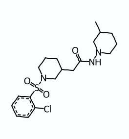 CC1CCCN(NC(=O)CC2CCCN(S(=O)(=O)c3ccccc3Cl)C2)C1